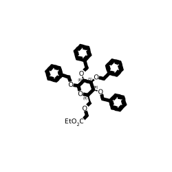 CCOC(=O)COC[C@H]1OC(OCc2ccccc2)[C@H](OCc2ccccc2)[C@@H](OCc2ccccc2)[C@@H]1OCc1ccccc1